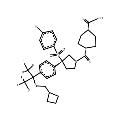 O=C(O)[C@H]1CC[C@H](C(=O)N2CC[C@](c3ccc(C(OCC4CCC4)(C(F)(F)F)C(F)(F)F)cc3)(S(=O)(=O)c3ccc(F)cc3)C2)CC1